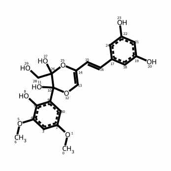 COc1cc(OC)c(O)c(C2(O)OC=C(C=Cc3cc(O)cc(O)c3)OC2(O)CO)c1